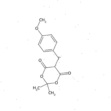 COc1ccc([I+]C2C(=O)OC(C)(C)OC2=O)cc1